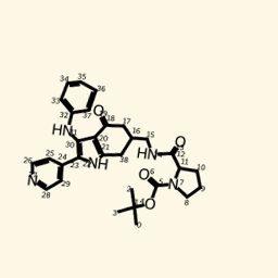 CC(C)(C)OC(=O)N1CCCC1C(=O)NCC1CC(=O)c2c([nH]c(-c3ccncc3)c2Nc2ccccc2)C1